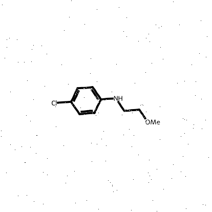 COCCNc1ccc(Cl)cc1